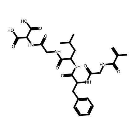 C=C(C)C(=O)NCC(=O)NC(Cc1ccccc1)C(=O)NC(CC(C)C)C(=O)NCC(=O)NC(C(=O)O)C(=O)O